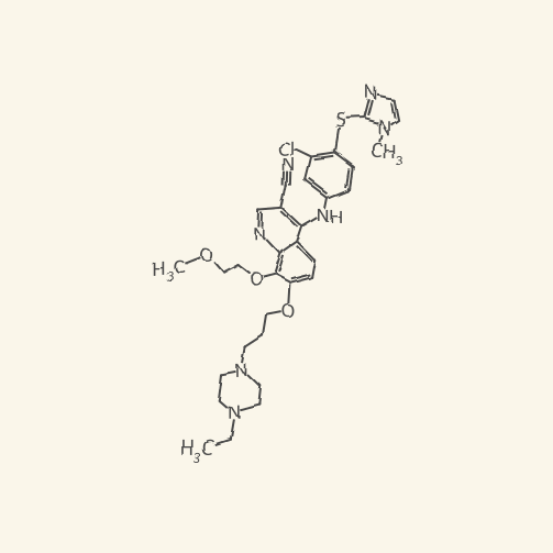 CCN1CCN(CCCOc2ccc3c(Nc4ccc(Sc5nccn5C)c(Cl)c4)c(C#N)cnc3c2OCCOC)CC1